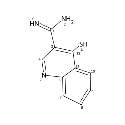 N=C(N)c1cnc2ccccc2c1S